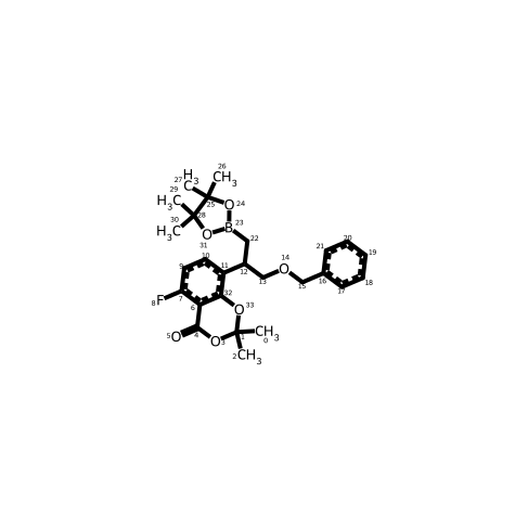 CC1(C)OC(=O)c2c(F)ccc(C(COCc3ccccc3)CB3OC(C)(C)C(C)(C)O3)c2O1